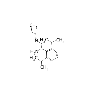 CCC=NCC(N)c1c(C(C)C)cccc1C(C)C